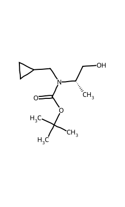 C[C@@H](CO)N(CC1CC1)C(=O)OC(C)(C)C